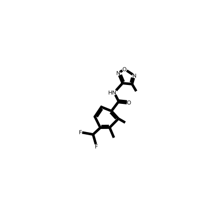 Cc1nonc1NC(=O)c1ccc(C(F)F)c(C)c1C